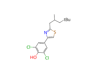 CC(Cc1nc(-c2cc(Cl)c(O)c(Cl)c2)cs1)CC(C)(C)C